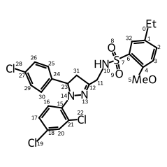 CCc1ccc(OC)c(S(=O)(=O)NCC2=NN(c3ccc(Cl)cc3Cl)C(c3ccc(Cl)cc3)C2)c1